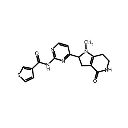 CN1C2=C(CC1c1ccnc(NC(=O)c3ccsc3)n1)C(=O)NCC2